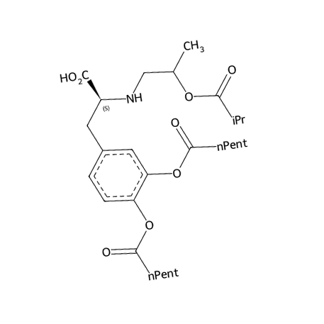 CCCCCC(=O)Oc1ccc(C[C@H](NCC(C)OC(=O)C(C)C)C(=O)O)cc1OC(=O)CCCCC